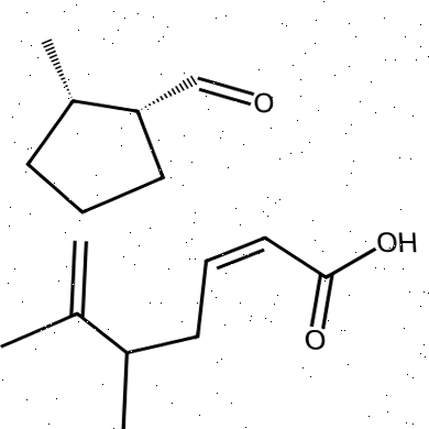 C=C(C)C(C)C/C=C\C(=O)O.C[C@H]1CCC[C@H]1C=O